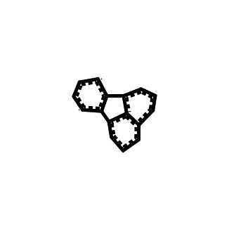 [c]1cc[c]c2c1-c1cccc3cccc-2c13